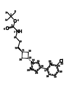 CC(C)(C)OC(=O)NCCC[C@H]1C[C@H](n2cc(-c3cccc(Cl)n3)cn2)C1